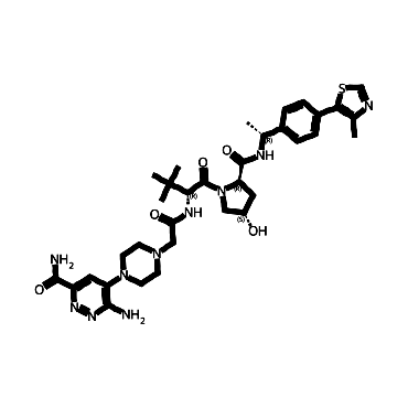 Cc1ncsc1-c1ccc([C@@H](C)NC(=O)[C@H]2C[C@H](O)CN2C(=O)[C@H](NC(=O)CN2CCN(c3cc(C(N)=O)nnc3N)CC2)C(C)(C)C)cc1